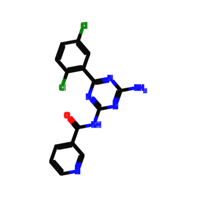 Nc1nc(NC(=O)c2cccnc2)nc(-c2cc(Cl)ccc2Cl)n1